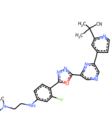 CN(C)CCNc1ccc(-c2nnc(-c3cncc(-c4ccnc(C(C)(C)C#N)c4)n3)o2)c(F)c1